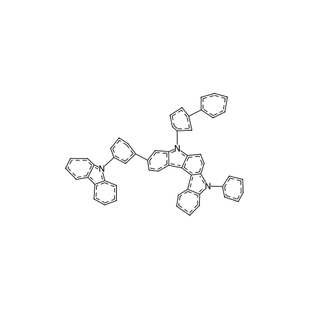 c1ccc(-c2cccc(-n3c4cc(-c5cccc(-n6c7ccccc7c7ccccc76)c5)ccc4c4c5c6ccccc6n(-c6ccccc6)c5ccc43)c2)cc1